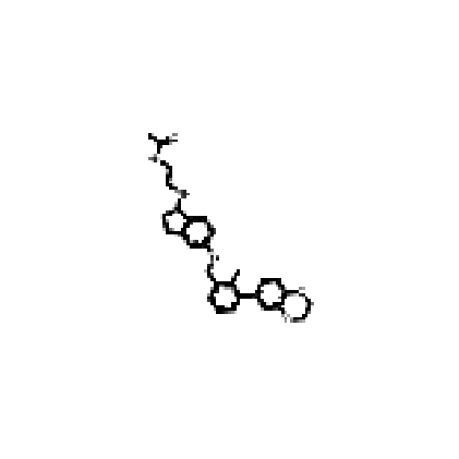 CC(=O)NCCNC1CCc2cc(OCc3cccc(-c4ccc5c(c4)OCCO5)c3C)ccc21